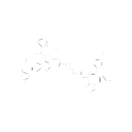 COc1cc2c3c(cnc2cc1-c1c(C)noc1C)N(CC(=O)NCCNC(=O)CC1N=C(c2ccc(Cl)cc2)c2c(sc(C)c2C)-n2c(C)nnc21)C(O)N3C(C)c1ccccn1